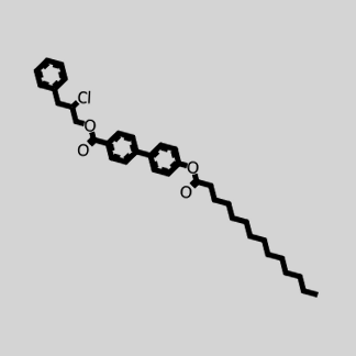 CCCCCCCCCCCCCC(=O)Oc1ccc(-c2ccc(C(=O)OCC(Cl)Cc3ccccc3)cc2)cc1